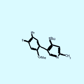 COc1cc(F)c(C(C)C)cc1-c1cnc(C)cc1C(C)(C)C